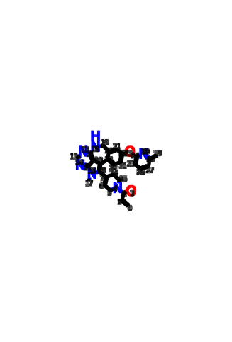 C=CC(=O)N1CC=C(c2c3c4c(ncnc4n2C)NCc2cc(Oc4cccc(C)n4)ccc2-3)CC1